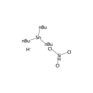 CCC[CH2][Sn]([CH2]CCC)[CH2]CCC.Cl[SiH](Cl)Cl.[H-]